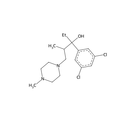 CCC(O)(c1cc(Cl)cc(Cl)c1)C(C)CN1CCN(C)CC1